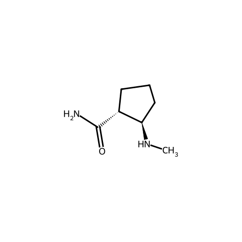 CN[C@@H]1CCC[C@H]1C(N)=O